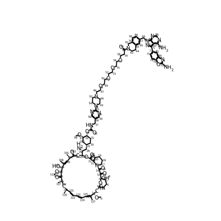 CO[C@H]1C[C@@H]2CC[C@@H](C)[C@@](O)(O2)C(=O)C(=O)N2CCCC[C@H]2C(=O)O[C@H]([C@H](N)C[C@@H]2CC[C@@H](OC(=O)NCc3cnc(N4CCN(CCOCCOCCOCCOCCC(=O)N5CCc6cc(Cn7nc(-c8ccc9oc(N)nc9c8)c8c(N)ncnc87)ccc6C5)CC4)nc3)[C@H](OC)C2)CC(=O)[C@H](C)/C=C(\C)[C@@H](O)[C@@H](OC)C(=O)[C@H](C)C[C@H](C)/C=C/C=C/C=C/1C